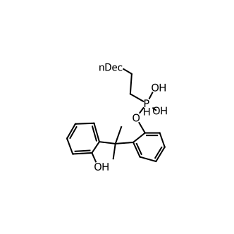 CCCCCCCCCCCC[PH](O)(O)Oc1ccccc1C(C)(C)c1ccccc1O